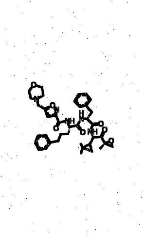 CC1(C)CC1[C@H](NC(=O)[C@H](Cc1ccccc1)NC(=O)[C@H](CCCc1ccccc1)NC(=O)c1cc(CN2CCOCC2)on1)C(=O)[C@@]1(C)CO1